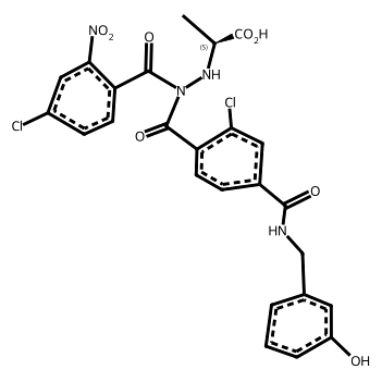 C[C@H](NN(C(=O)c1ccc(C(=O)NCc2cccc(O)c2)cc1Cl)C(=O)c1ccc(Cl)cc1[N+](=O)[O-])C(=O)O